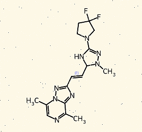 Cc1ncc(C)n2nc(/C=C/C3NC(N4CCC(F)(F)C4)=NN3C)nc12